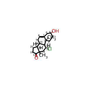 C[C@]12CC[C@H](O)CC1=CC[C@@H]1[C@@H]2[C@H](Cl)C[C@]2(C)C(=O)CC[C@@H]12